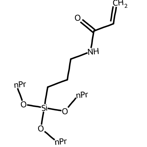 C=CC(=O)NCCC[Si](OCCC)(OCCC)OCCC